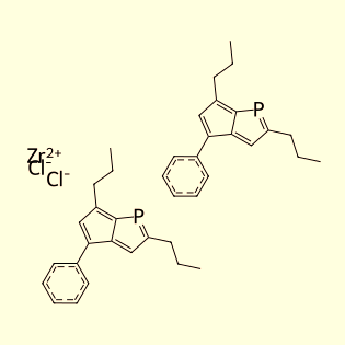 CCCC1=PC2=C(CCC)C=C(c3ccccc3)C2=C1.CCCC1=PC2=C(CCC)C=C(c3ccccc3)C2=C1.[Cl-].[Cl-].[Zr+2]